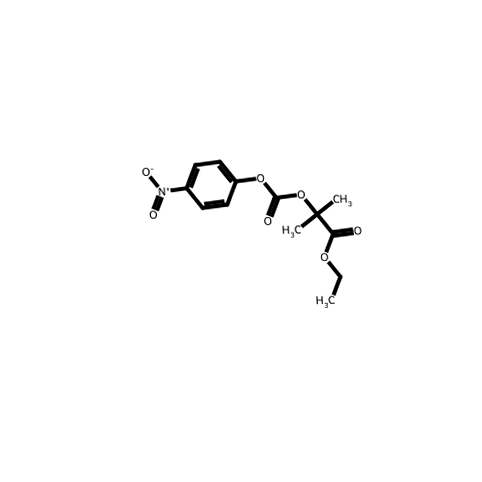 CCOC(=O)C(C)(C)OC(=O)Oc1ccc([N+](=O)[O-])cc1